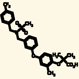 Cc1cc(Oc2cccc(CN(Cc3ccc(C(F)(F)F)cc3)S(C)(=O)=O)c2)ccc1OC(C)(C)C(=O)O